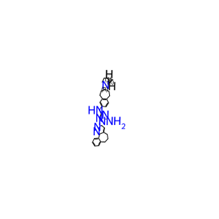 Nc1nc(Nc2ccc3c(c2)CC[C@H](N2CC[C@H]4C[C@H]42)CC3)nn1-c1cc2c(nn1)-c1ccccc1CCC2